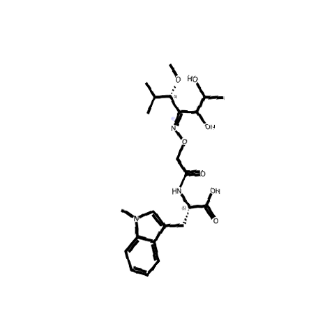 CO[C@H](/C(=N/OCC(=O)N[C@@H](Cc1cn(C)c2ccccc12)C(=O)O)C(O)C(C)O)C(C)C